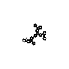 c1ccc(-n2c3ccccc3c3cc(N(c4ccc(-c5ccc6c7c8sc9ccccc9c8ccc7n(-c7ccccc7)c6c5)cc4)c4ccc5c(c4)c4ccccc4n5-c4ccccc4)ccc32)cc1